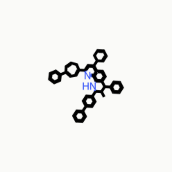 CC1C(c2ccc(-c3ccccc3)cc2)Nc2c(ccc3c(C4C=CC=CC4)cc(C4=CC=C(c5ccccc5)C=CC4)nc23)C1c1ccccc1